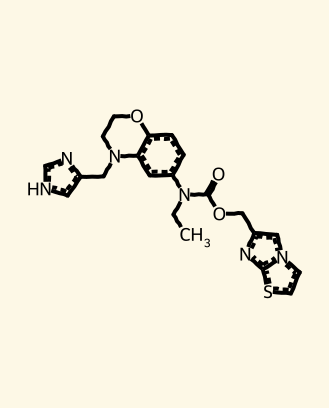 CCN(C(=O)OCc1cn2ccsc2n1)c1ccc2c(c1)N(Cc1c[nH]cn1)CCO2